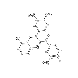 COc1ccc([C@H](Cc2c(Cl)cncc2Cl)OC(=O)c2ccc(F)c(C=O)c2)cc1OC